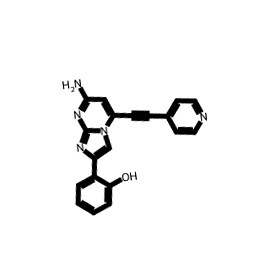 Nc1cc(C#Cc2ccncc2)n2cc(-c3ccccc3O)nc2n1